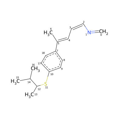 C=N/C=C\C=C(/C)c1ccc(SC(C)C(C)C)cc1